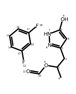 CC(Cc1cc(O)[nH]n1)OC=O.Fc1cccc(F)c1